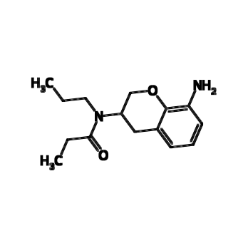 CCCN(C(=O)CC)C1COc2c(N)cccc2C1